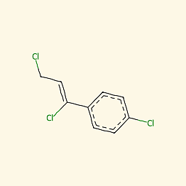 ClCC=C(Cl)c1ccc(Cl)cc1